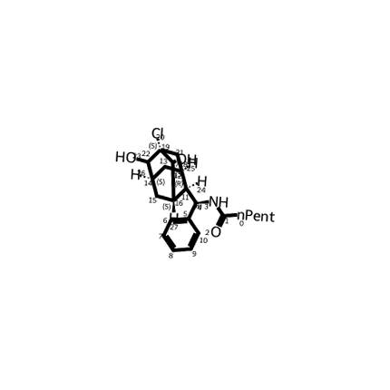 CCCCCC(=O)N[C@@H](c1ccccc1)[C@@H]1[C@H]2C[C@H]3C[C@@H]1C(O)[C@](Cl)(C2)C3O